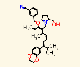 C=C/C(OCc1cccc(C#N)c1)=C(/CN1CCC[C@H]1CO)C(C)/C=C\C=C(/C(=C)C)c1ccc2c(c1)OCCO2